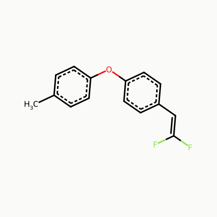 Cc1ccc(Oc2ccc(C=C(F)F)cc2)cc1